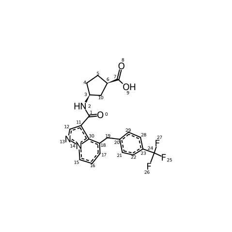 O=C(N[C@H]1CC[C@@H](C(=O)O)C1)c1cnn2cccc(Cc3ccc(C(F)(F)F)cc3)c12